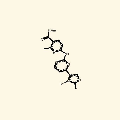 CNC(=O)c1ccc(Nc2nccc(-c3cnc(C)n3C(C)C)n2)nc1C